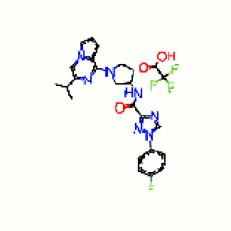 CC(C)c1cn2cccc2c(N2CC[C@H](NC(=O)c3ncn(-c4ccc(F)cc4)n3)C2)n1.O=C(O)C(F)(F)F